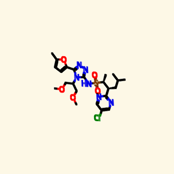 COCC(COC)n1c(NS(=O)(=O)[C@@H](C)[C@@H](CC(C)C)c2ncc(Cl)cn2)nnc1-c1ccc(C)o1